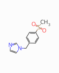 CS(=O)(=O)c1ccc(Cn2ccnc2)cc1